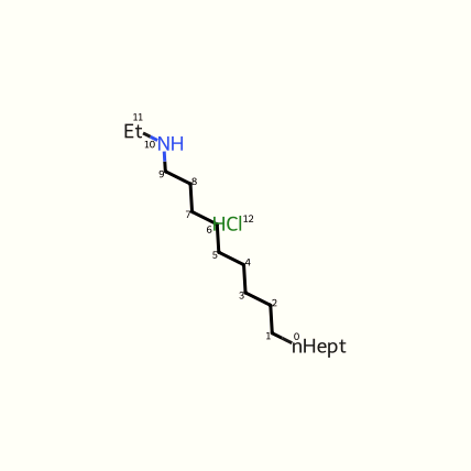 CCCCCCCCCCCCCCCCNCC.Cl